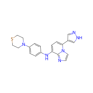 c1cn2c(-c3cn[nH]c3)ccc(Nc3ccc(N4CCSCC4)cc3)c2n1